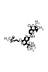 CCC(C)(N)c1cnc(OCCCS(C)(=O)=O)c2cnc(Nc3ccc4c(n3)C3(CC3)C(C)(C)OC4=O)cc12